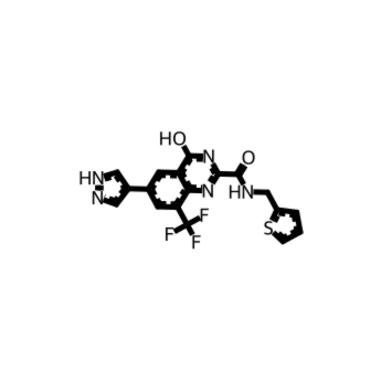 O=C(NCc1cccs1)c1nc(O)c2cc(-c3cn[nH]c3)cc(C(F)(F)F)c2n1